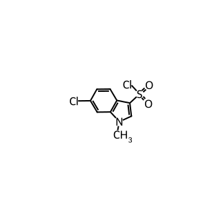 Cn1cc(S(=O)(=O)Cl)c2ccc(Cl)cc21